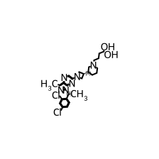 Cc1nn([C@H](C)c2ccc(Cl)cc2Cl)c2nc(N3CC([C@H]4CCCN(CCCC(O)O)C4)C3)cnc12